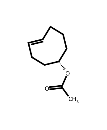 CC(=O)O[C@@H]1CC/C=C/CCC1